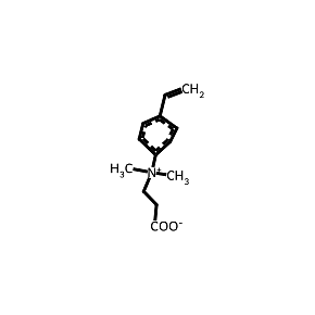 C=Cc1ccc([N+](C)(C)CCC(=O)[O-])cc1